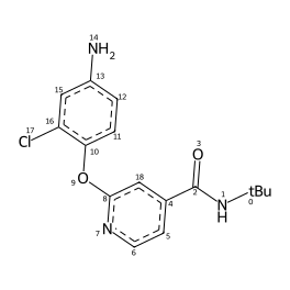 CC(C)(C)NC(=O)c1ccnc(Oc2ccc(N)cc2Cl)c1